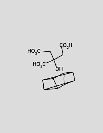 C12C3C4C1C1C2C3C41.O=C(O)CC(O)(CC(=O)O)C(=O)O